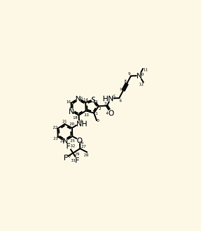 Cc1c(C(=O)NCC#CCN(C)C)sc2ncnc(Nc3cccnc3OC(C)C(F)(F)F)c12